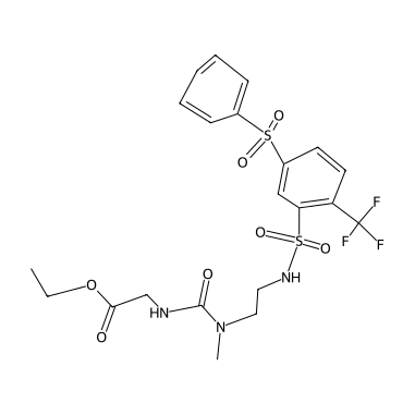 CCOC(=O)CNC(=O)N(C)CCNS(=O)(=O)c1cc(S(=O)(=O)c2ccccc2)ccc1C(F)(F)F